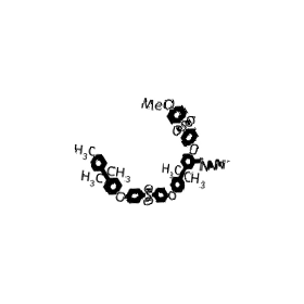 COc1ccc(S(=O)(=O)c2ccc(Oc3ccc(C(C)(C)c4ccc(Oc5ccc(S(=O)(=O)c6ccc(Oc7ccc(C(C)(C)c8ccc(C)cc8)cc7)cc6)cc5)cc4)cc3CN=[N+]=[N-])cc2)cc1